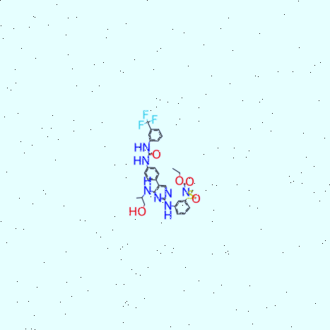 CCOC(=O)N=[S@](C)(=O)c1cccc(Nc2ncc(-c3ccc(NC(=O)Nc4cccc(C(F)(F)F)c4)cc3)c(NC(C)CO)n2)c1